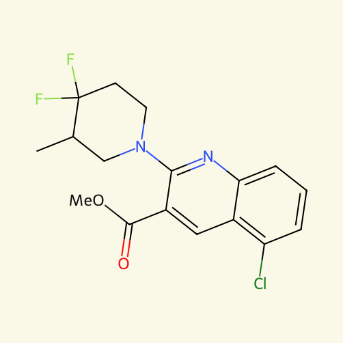 COC(=O)c1cc2c(Cl)cccc2nc1N1CCC(F)(F)C(C)C1